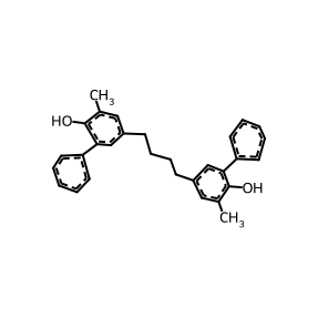 Cc1cc(CCCCc2cc(C)c(O)c(-c3ccccc3)c2)cc(-c2ccccc2)c1O